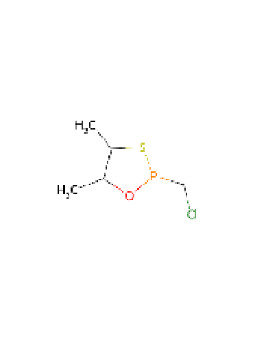 CC1OP(CCl)SC1C